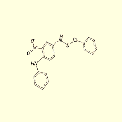 O=[N+]([O-])c1cc(NSOc2ccccc2)ccc1Nc1ccccc1